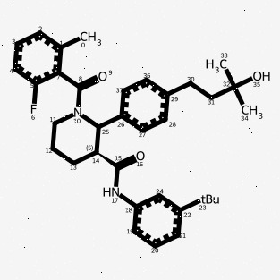 Cc1cccc(F)c1C(=O)N1CCC[C@H](C(=O)Nc2cccc(C(C)(C)C)c2)C1c1ccc(CCC(C)(C)O)cc1